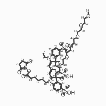 CCN1/C(=C/C(C)=C/C2=[N+](CCCCCC(=O)ON3C(=O)CCC3=O)c3ccc(S(=O)(=O)O)cc3C2(C)CCOCCOCCOCCOCCOCCOC)C(C)(CCCS(=O)(=O)O)c2cc(S(=O)(=O)O)ccc21